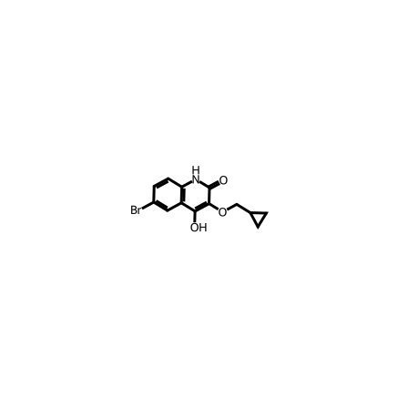 O=c1[nH]c2ccc(Br)cc2c(O)c1OCC1CC1